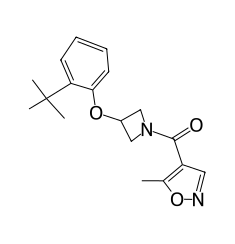 Cc1oncc1C(=O)N1CC(Oc2ccccc2C(C)(C)C)C1